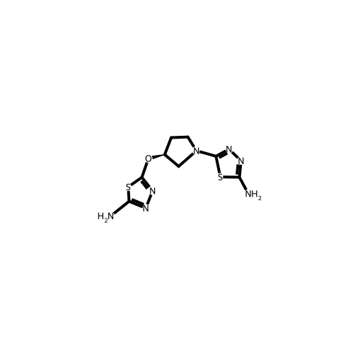 Nc1nnc(O[C@H]2CCN(c3nnc(N)s3)C2)s1